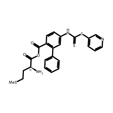 CSCC[C@H](N)C(=O)OC(=O)c1ccc(NC(=S)Sc2cccnc2)cc1-c1ccccc1